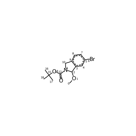 COC1c2cc(Br)ccc2CN1C(=O)OC(C)(C)C